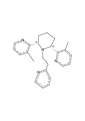 Cc1cccnc1[C@H]1CCC[C@@H](c2ncccc2C)N1CCc1ccccn1